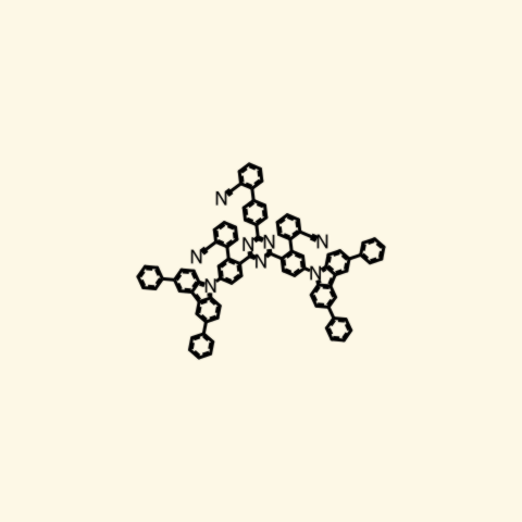 N#Cc1ccccc1-c1ccc(-c2nc(-c3ccc(-n4c5ccc(-c6ccccc6)cc5c5cc(-c6ccccc6)ccc54)cc3-c3ccccc3C#N)nc(-c3ccc(-n4c5ccc(-c6ccccc6)cc5c5cc(-c6ccccc6)ccc54)cc3-c3ccccc3C#N)n2)cc1